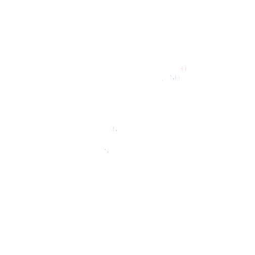 O=C(CCCCCC(=O)N1CCN(C(c2ccccc2)c2ccccc2)CC1)NO